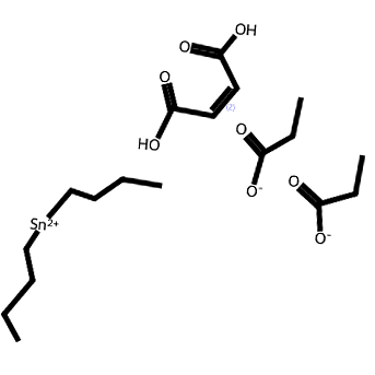 CCC(=O)[O-].CCC(=O)[O-].CCC[CH2][Sn+2][CH2]CCC.O=C(O)/C=C\C(=O)O